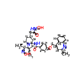 CCC[C@]1(NC(=O)c2ccc(OCc3cc(C)nc4ccccc34)cc2)CC(CC(=O)NO)CCN1C/C(C)=N\O